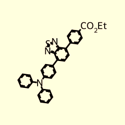 CCOC(=O)c1ccc(-c2ccc(-c3ccc(N(c4ccccc4)c4ccccc4)cc3)c3nsnc23)cc1